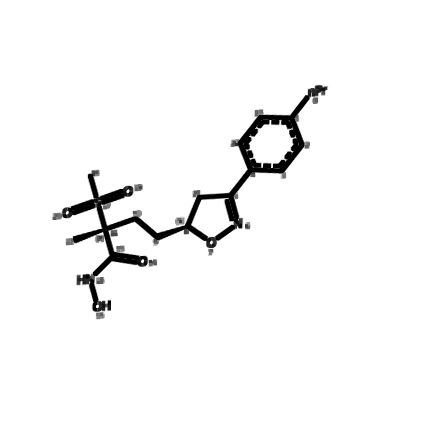 CCCc1ccc(C2=NO[C@@H](CC[C@](C)(C(=O)NO)S(C)(=O)=O)C2)cc1